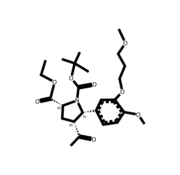 CCOC(=O)[C@H]1C[C@@H](C(C)=O)[C@@H](c2ccc(OC)c(OCCCOC)c2)N1C(=O)OC(C)(C)C